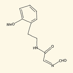 COc1ccccc1CCNC(=O)/C=N\[C]=O